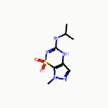 CC(C)NC1=NS(=O)(=O)c2c(cnn2C)N1